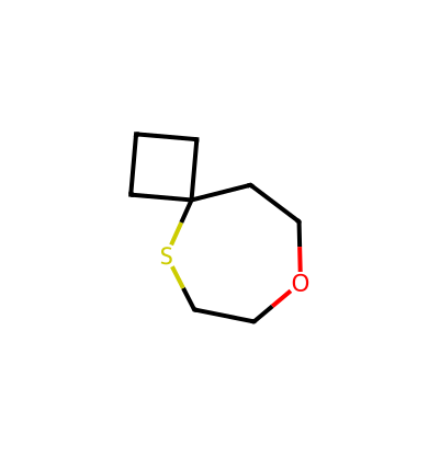 C1CC2(C1)CCOCCS2